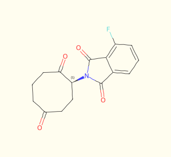 O=C1CCCC(=O)[C@@H](N2C(=O)c3cccc(F)c3C2=O)CC1